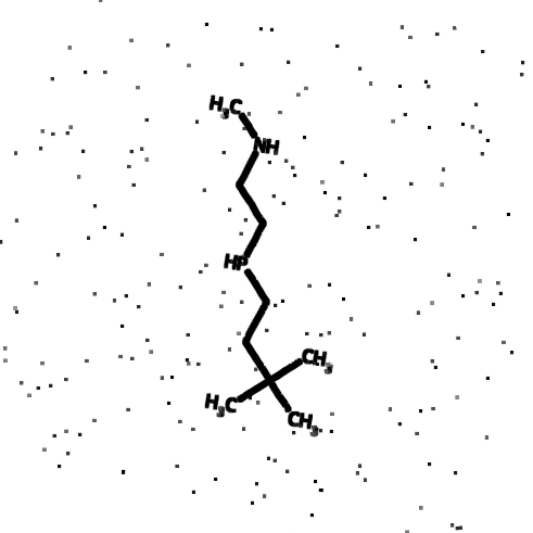 CNCCPCCC(C)(C)C